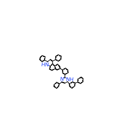 C1=C(c2ccccc2)N=C(c2cccc(-c3ccc4c5c(ccc4c3)NC(c3ccccc3)C=C5c3ccccc3)c2)NC1c1cccc(-c2ccccc2)c1